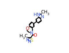 Cc1nc2ccc(-c3ccc4c(c3)CN(C(=O)c3snnc3C)CCO4)cc2[nH]1